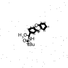 C[C@H](N[S+]([O-])C(C)(C)C)c1ccc(Oc2ccccc2)c(F)c1